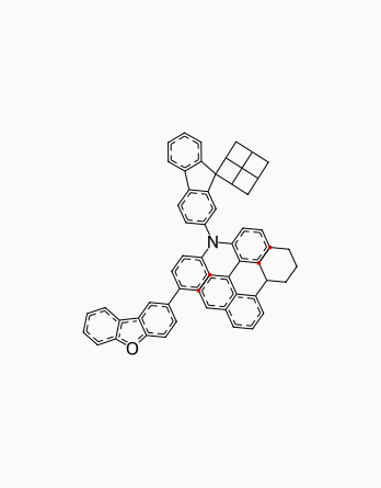 c1ccc(N(c2ccc(-c3ccc4oc5ccccc5c4c3)cc2)c2ccc3c(c2)C2(c4ccccc4-3)C3CC4CC5CC2C453)c(-c2cccc3cccc(C4CCCCC4)c23)c1